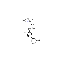 Cc1nc(-c2cncc(F)c2)sc1NC(=O)C(C)C/S(C)=N\C#N